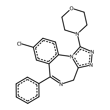 Clc1ccc2c(c1)C(c1ccccc1)=NCc1nnc(N3CCOCC3)n1-2